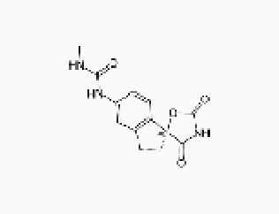 CNC(=O)Nc1ccc2c(c1)CC[C@@]21OC(=O)NC1=O